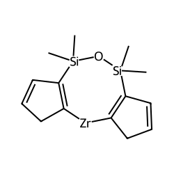 C[Si]1(C)O[Si](C)(C)C2=[C](CC=C2)[Zr][C]2=C1C=CC2